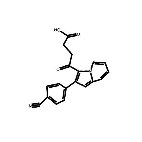 N#Cc1ccc(-c2cc3ccccn3c2C(=O)CCC(=O)O)cc1